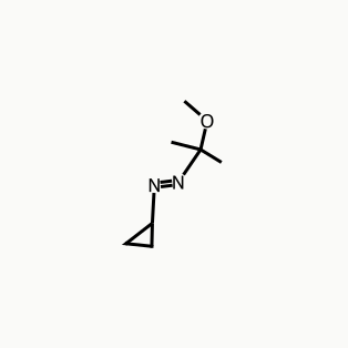 COC(C)(C)/N=N/C1CC1